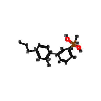 CCCc1ccc(-c2cccc(S(C)(=O)=O)c2)c(C)c1